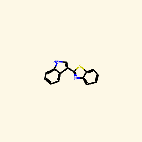 [c]1[nH]c2ccccc2c1-c1nc2ccccc2s1